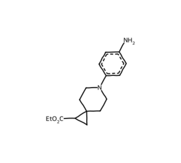 CCOC(=O)C1CC12CCN(c1ccc(N)cc1)CC2